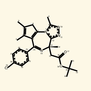 CC1=C(C)C2=C(C1)n1c(C)nnc1[C@](C)(CC(=O)OC(C)(C)C)N=C2c1ccc(Cl)cc1